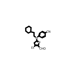 CCC1=C(C=O)N=C(N(CCC2CCCCC2)c2ccc(C#N)cc2)C1